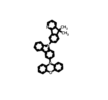 CC1(C)c2ccc(-n3c4ccccc4c4cc(N5c6ccccc6Oc6ccccc65)ccc43)cc2-c2ncccc21